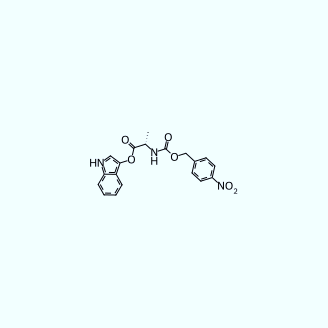 C[C@H](NC(=O)OCc1ccc([N+](=O)[O-])cc1)C(=O)Oc1c[nH]c2ccccc12